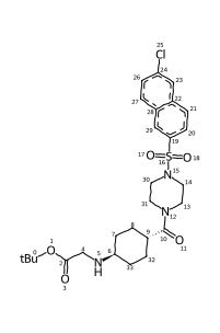 CC(C)(C)OC(=O)CN[C@H]1CC[C@H](C(=O)N2CCN(S(=O)(=O)c3ccc4cc(Cl)ccc4c3)CC2)CC1